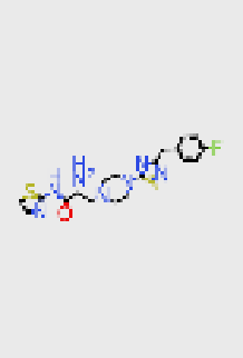 NC(CN1CCN(c2nc(Cc3ccc(F)cc3)ns2)CC1)C(=O)Nc1nccs1